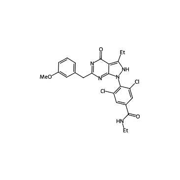 CCNC(=O)c1cc(Cl)c(-n2[nH]c(CC)c3c(=O)nc(Cc4cccc(OC)c4)nc2-3)c(Cl)c1